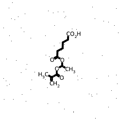 C=C(C)C(=O)OC(C)OC(=O)CCCCC(=O)O